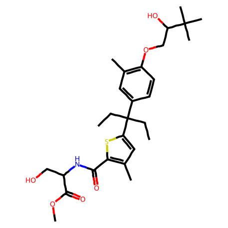 CCC(CC)(c1ccc(OCC(O)C(C)(C)C)c(C)c1)c1cc(C)c(C(=O)NC(CO)C(=O)OC)s1